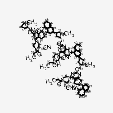 C=CC(=O)N1CCN(c2nc(OC[C@@H]3CC(c4cc(N5CCc6c(nc(OC[C@@H]7CC(c8cc(N9CCc%10c(nc(OC[C@@H]%11CCCN%11C)nc%10N%10CCN(C(=O)C=C)[C@@H](CC#N)C%10)C9)c9c(OC)cccc9c8)CN7C)nc6N6CCN(C(O)C=C)C[C@@H]6C#N)C5)c5ccccc5c4)CN3C)nc3c2CCN(c2cccc4cccc(Br)c24)C3)C[C@@H]1CC#N